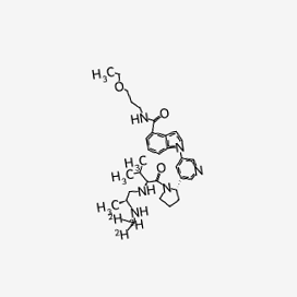 [2H]C([2H])([2H])N[C@@H](C)CN[C@H](C(=O)N1CCC[C@H]1c1cncc(-n2ccc3c(C(=O)NCCCOCC)cccc32)c1)C(C)C